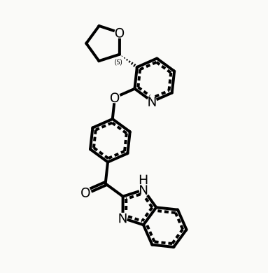 O=C(c1ccc(Oc2ncccc2[C@@H]2CCCO2)cc1)c1nc2ccccc2[nH]1